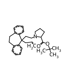 C=CCC1(CCN2CCCC2C(=O)OC(C)(C)C)c2ccccc2CCc2ccccc21